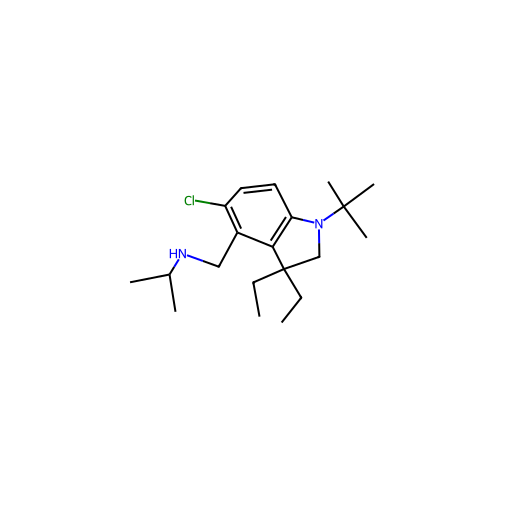 CCC1(CC)CN(C(C)(C)C)c2ccc(Cl)c(CNC(C)C)c21